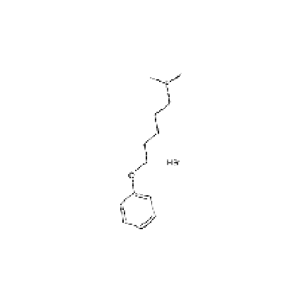 Br.CP(C)CCCCCOc1ccccc1